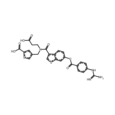 N=C(N)Nc1ccc(C(=O)Oc2ccc3c(C(=O)N(CCC(=O)O)Cc4csc(C(=O)O)c4)csc3c2)cc1